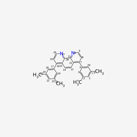 Cc1cc(C)cc(-c2ccnc3c2ccc2c(-c4cc(C)cc(C)c4)ccnc23)c1